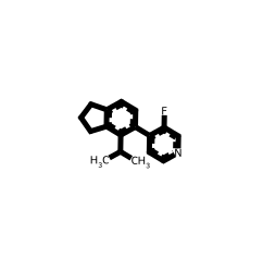 CC(C)c1c(-c2ccncc2F)ccc2c1CCC2